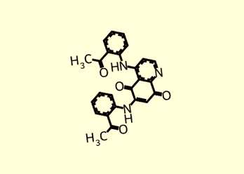 CC(=O)c1ccccc1NC1=CC(=O)c2nccc(Nc3ccccc3C(C)=O)c2C1=O